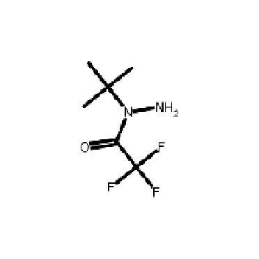 CC(C)(C)N(N)C(=O)C(F)(F)F